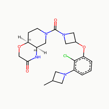 CC1CN(c2cccc(OC3CN(C(=O)N4CC[C@@H]5OCC(=O)N[C@@H]5C4)C3)c2Cl)C1